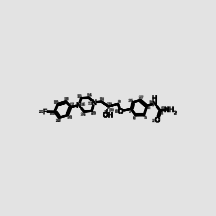 NC(=O)Nc1ccc(OC[C@H](O)CN2CCN(c3ccc(F)cc3)CC2)cc1